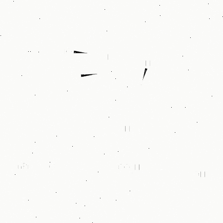 CCCOc1ccccc1C(C)C(=O)O.C[C@]12CC[C@@H]3c4ccc(O)cc4CC[C@H]3[C@@H]1CC[C@@H]2O